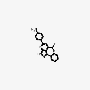 Nc1ccc(-c2cc(C(F)F)c3c(-c4ccccc4)n[nH]c3n2)cc1